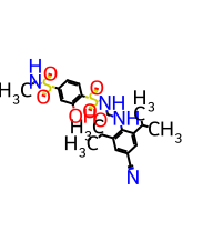 CNS(=O)(=O)c1ccc(S(=O)(=O)NC(=O)Nc2c(C(C)C)cc(C#N)cc2C(C)C)c(O)c1